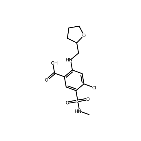 CNS(=O)(=O)c1cc(C(=O)O)c(NCC2CCCO2)cc1Cl